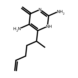 C=CCCC(C)C1=C(N)C(=C)N=C(N)N1